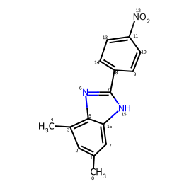 Cc1cc(C)c2nc(-c3ccc([N+](=O)[O-])cc3)[nH]c2c1